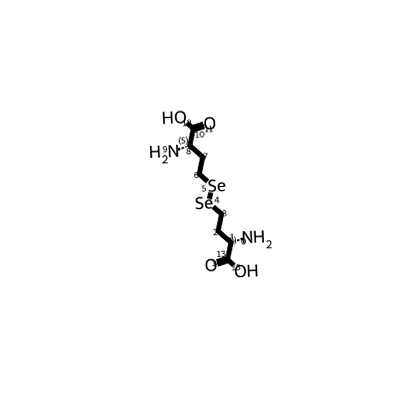 N[C@@H](CC[Se][Se]CC[C@H](N)C(=O)O)C(=O)O